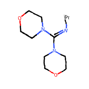 CC(C)N=C(N1CCOCC1)N1CCOCC1